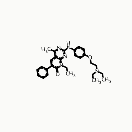 CCN(CC)CCOc1ccc(Nc2nc(C)c3cc(-c4ccccc4)c(=O)n(CC)c3n2)cc1